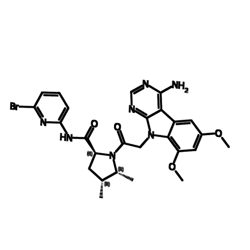 COc1cc(OC)c2c(c1)c1c(N)ncnc1n2CC(=O)N1[C@H](C)[C@H](C)C[C@H]1C(=O)Nc1cccc(Br)n1